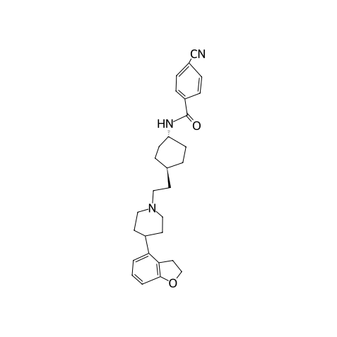 N#Cc1ccc(C(=O)N[C@H]2CC[C@H](CCN3CCC(c4cccc5c4CCO5)CC3)CC2)cc1